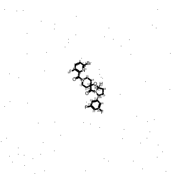 O=C(c1nc(Br)ccc1F)N1CCC2(CC1)O[C@@H]1CC[C@@H](c3cc(F)cc(F)c3)N1C2=O